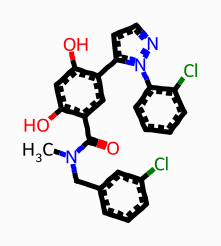 CN(Cc1cccc(Cl)c1)C(=O)c1cc(-c2ccnn2-c2ccccc2Cl)c(O)cc1O